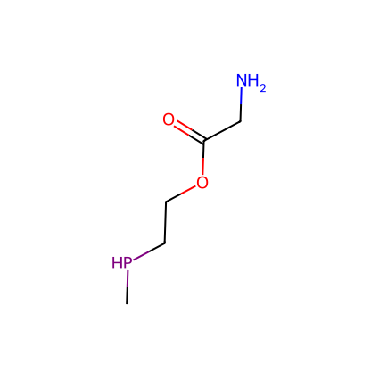 CPCCOC(=O)CN